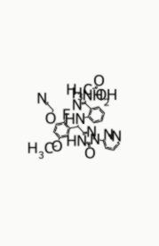 CC(=O)O.COc1cc(OCC#N)c(F)c([C@H](Nc2ccccc2C(=N)N)c2nn(-c3cccnn3)c(=O)[nH]2)c1